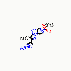 CC(C)(C)OC(=O)N1CCC(n2nc(-c3cn[nH]c3)c(C#N)c2N)CC1